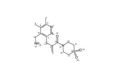 C=C(Sc1nnc(C)c(C)c1CN)C(=O)N1CCS(=O)(=O)CC1